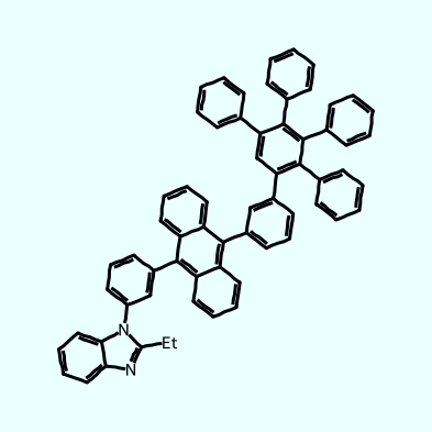 CCc1nc2ccccc2n1-c1cccc(-c2c3ccccc3c(-c3cccc(-c4cc(-c5ccccc5)c(-c5ccccc5)c(-c5ccccc5)c4-c4ccccc4)c3)c3ccccc23)c1